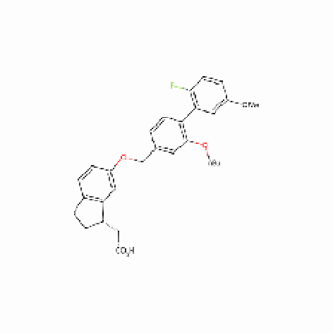 CCCCOc1cc(COc2ccc3c(c2)[C@H](CC(=O)O)CC3)ccc1-c1cc(OC)ccc1F